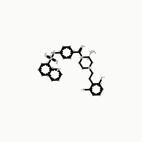 C[C@@H]1CN(CCc2c(F)cccc2F)CCN1C(=O)c1ccc(NS(=O)(=O)c2cccc3cccnc23)cc1